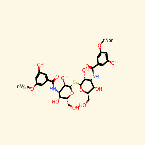 CCCCCCCCCOc1cc(O)cc(C(=O)N[C@@H]2[C@@H](O)[C@@H](CO)O[C@@H](S[C@@H]3O[C@H](CO)[C@H](O)[C@@H](NC(=O)c4cc(O)cc(OCCCCCCCCC)c4)[C@H]3O)[C@@H]2O)c1